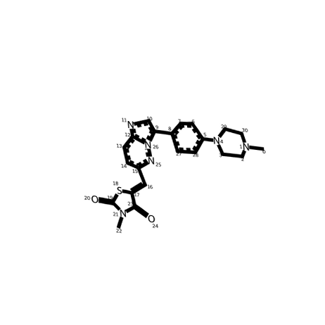 CN1CCN(c2ccc(-c3cnc4ccc(/C=C5\SC(=O)N(C)C5=O)nn34)cc2)CC1